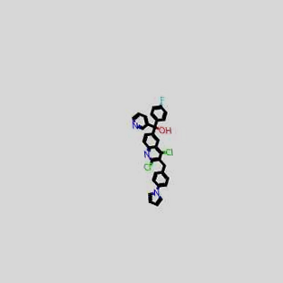 OC(c1ccc(F)cc1)(c1cccnc1)c1ccc2nc(Cl)c(Cc3ccc(-n4cccc4)cc3)c(Cl)c2c1